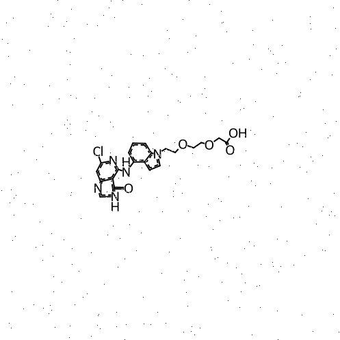 O=C(O)COCCOCCn1ccc2c(Nc3nc(Cl)cc4nc[nH]c(=O)c34)cccc21